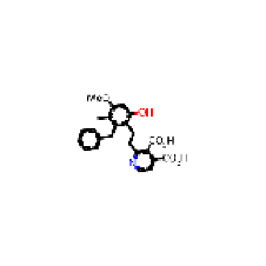 COc1cc(O)c(CCc2nccc(C(=O)O)c2C(=O)O)c(Cc2ccccc2)c1C